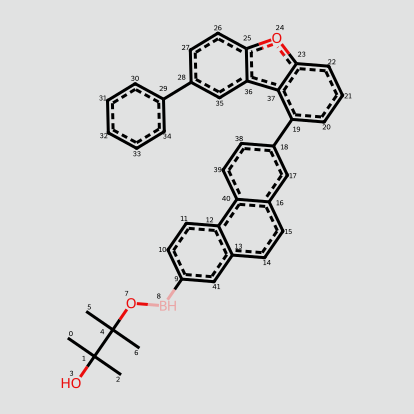 CC(C)(O)C(C)(C)OBc1ccc2c(ccc3cc(-c4cccc5oc6ccc(-c7ccccc7)cc6c45)ccc32)c1